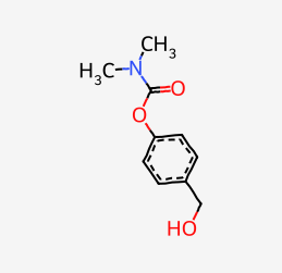 CN(C)C(=O)Oc1ccc(CO)cc1